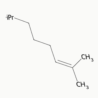 C[C](C)CCCC=C(C)C